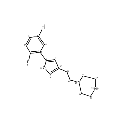 Fc1ccc(Cl)cc1-c1cc(CCN2C[CH]NCC2)no1